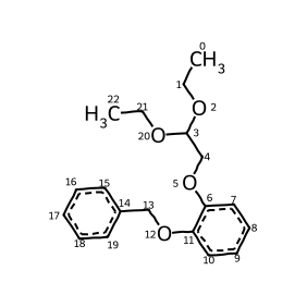 CCOC(COc1ccccc1OCc1ccccc1)OCC